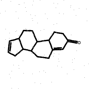 O=C1C=C2CCC3C4CC=CC4CCC3C2CC1